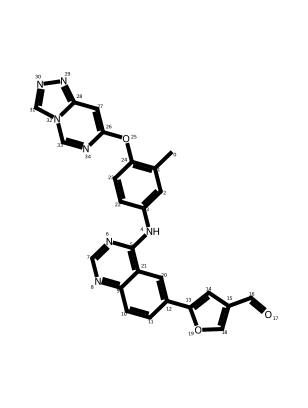 Cc1cc(Nc2ncnc3ccc(-c4cc(C=O)co4)cc23)ccc1Oc1cc2nncn2cn1